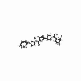 O=C(NC1CCN(c2cccnn2)C1)c1ccc(C2CCN(C(=O)c3ccc(F)cc3F)CC2)s1